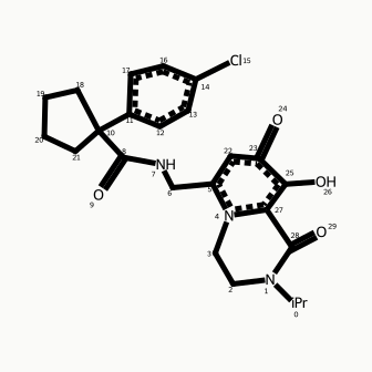 CC(C)N1CCn2c(CNC(=O)C3(c4ccc(Cl)cc4)CCCC3)cc(=O)c(O)c2C1=O